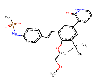 COCCOc1c(/C=C/c2ccc(NS(C)(=O)=O)cc2)cc(-c2ccc[nH]c2=O)cc1C(C)(C)C